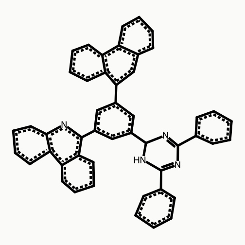 c1ccc(C2=NC(c3cc(-c4cc5ccccc5c5ccccc45)cc(-c4nc5ccccc5c5ccccc45)c3)NC(c3ccccc3)=N2)cc1